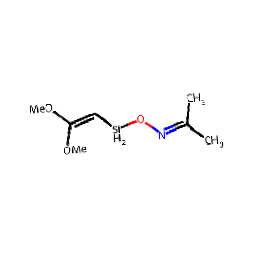 COC(=C[SiH2]ON=C(C)C)OC